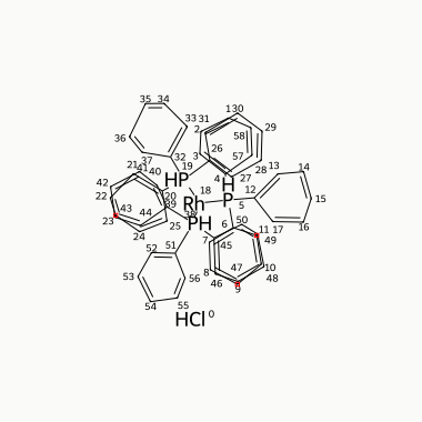 Cl.c1ccc([PH](c2ccccc2)(c2ccccc2)[Rh]([PH](c2ccccc2)(c2ccccc2)c2ccccc2)[PH](c2ccccc2)(c2ccccc2)c2ccccc2)cc1